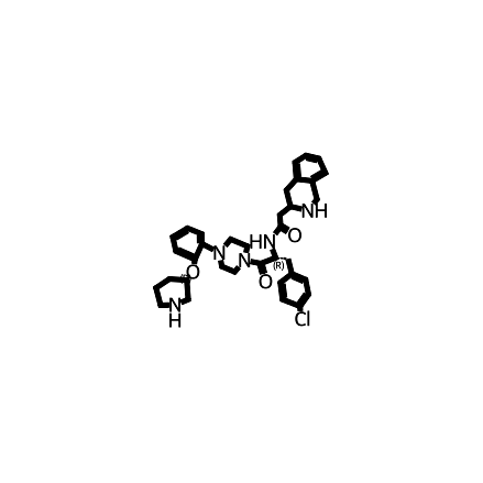 O=C(CC1Cc2ccccc2CN1)N[C@H](Cc1ccc(Cl)cc1)C(=O)N1CCN(c2ccccc2O[C@@H]2CCCNC2)CC1